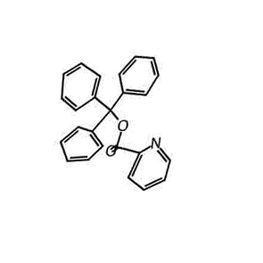 O=C(OC(c1ccccc1)(c1ccccc1)c1ccccc1)c1ccccn1